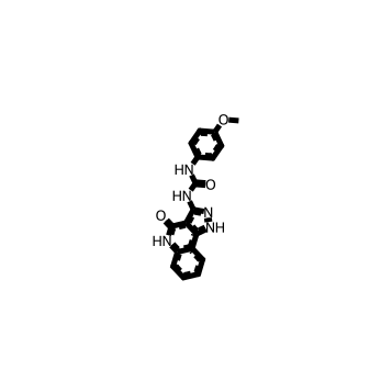 COc1ccc(NC(=O)Nc2n[nH]c3c2c(=O)[nH]c2ccccc23)cc1